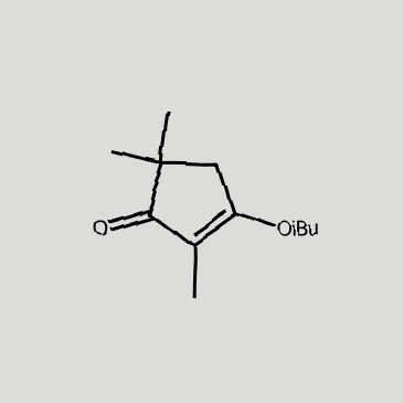 CC1=C(OCC(C)C)CC(C)(C)C1=O